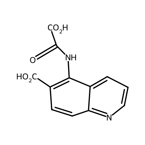 O=C(O)C(=O)Nc1c(C(=O)O)ccc2ncccc12